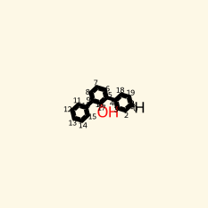 [2H]c1ccc(-c2cccc(-c3ccccc3)c2O)cc1